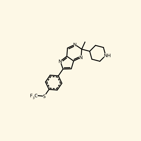 CC1(C2CCNCC2)N=CC2=NC(c3ccc(SC(F)(F)F)cc3)=CC2=N1